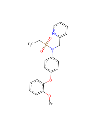 CC(C)Oc1ccccc1Oc1ccc(N(Cc2ccccn2)S(=O)(=O)CC(F)(F)F)cc1